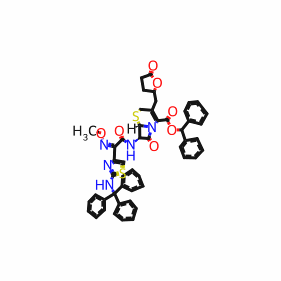 CO/N=C(\C(=O)N[C@@H]1C(=O)N2C(C(=O)OC(c3ccccc3)c3ccccc3)=C(CC3CCC(=O)O3)CS[C@H]12)c1csc(NC(c2ccccc2)(c2ccccc2)c2ccccc2)n1